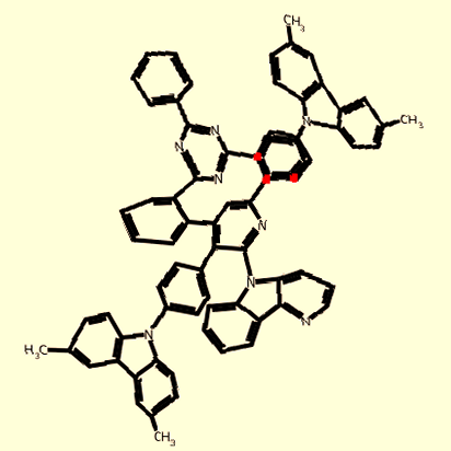 Cc1ccc2c(c1)c1cc(C)ccc1n2-c1ccc(-c2cc(-c3ccccc3-c3nc(-c4ccccc4)nc(-c4ccccc4)n3)c(-c3ccc(-n4c5ccc(C)cc5c5cc(C)ccc54)cc3)c(-n3c4ccccc4c4ncccc43)n2)cc1